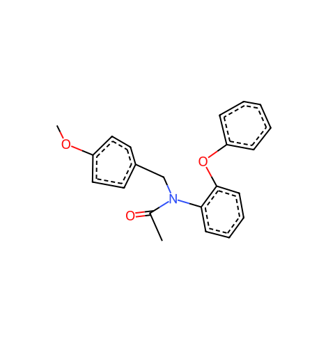 COc1ccc(CN(C(C)=O)c2ccccc2Oc2ccccc2)cc1